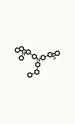 c1ccc(-c2cccc(-c3ccc(N(c4ccc(-c5ccc6c(c5)sc5ccccc56)cc4)c4ccc(-c5ccc6c7ccc8ccccc8c7n(-c7ccccc7)c6c5)cc4)cc3)c2)cc1